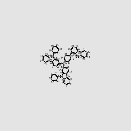 c1ccc(-n2c3ccccc3c3ccc(N(c4ccc(-c5cccc6c5oc5ccccc56)cc4)c4ccc5c6ccccc6n(-c6ccccc6)c5c4)cc32)cc1